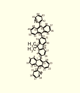 CC1(C)c2cc(-c3c4ccccc4c(-c4ccccn4)c4ccccc34)ccc2-c2ccc(-c3c4ccccc4c(-c4ccccn4)c4ccccc34)cc21